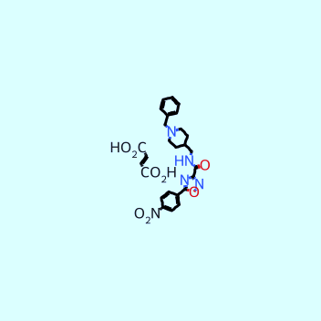 O=C(NCC1CCN(Cc2ccccc2)CC1)c1noc(-c2ccc([N+](=O)[O-])cc2)n1.O=C(O)/C=C/C(=O)O